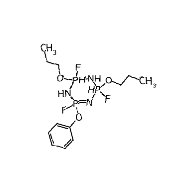 CCCO[PH]1(F)N=P(F)(Oc2ccccc2)N[PH](F)(OCCC)N1